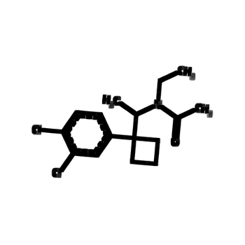 CCN(C(C)=O)C(C)C1(c2ccc(Cl)c(Cl)c2)CCC1